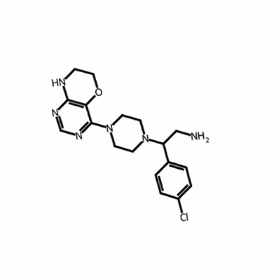 NCC(c1ccc(Cl)cc1)N1CCN(c2ncnc3c2OCCN3)CC1